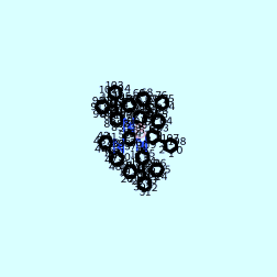 c1ccc(-c2ccc3c(c2)N(c2ccc([Si](c4ccccc4)(c4ccccc4)c4ccccc4)cc2)c2cc(-n4c5ccccc5c5ccccc54)cc4c2B3c2cc([Si](c3ccccc3)(c3ccccc3)c3ccccc3)ccc2N4c2cccc([Si](c3ccccc3)(c3ccccc3)c3ccccc3)c2)cc1